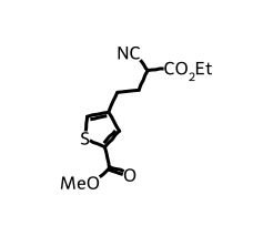 CCOC(=O)C(C#N)CCc1csc(C(=O)OC)c1